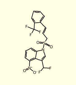 O=[N+]([O-])c1cccc2c1c(C(F)F)cn2S(=O)(=O)CC=Cc1ccccc1C(F)(F)F